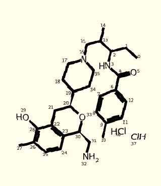 CCC(NC(=O)c1ccc(C)cc1)C(C)CN1CCC([C@@H]2Cc3c(ccc(C)c3O)[C@H](CN)O2)CC1.Cl.Cl